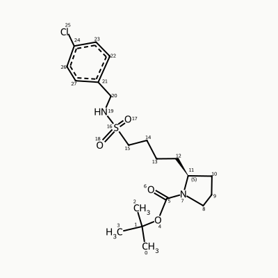 CC(C)(C)OC(=O)N1CCC[C@@H]1CCCCS(=O)(=O)NCc1ccc(Cl)cc1